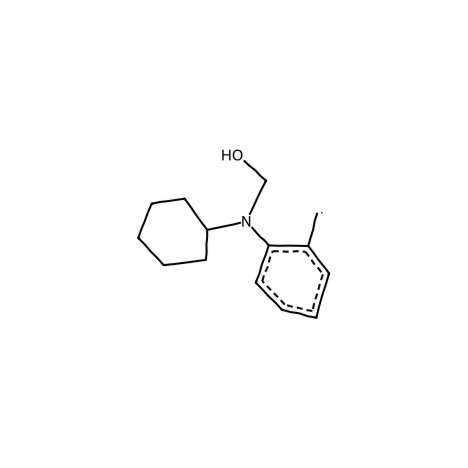 [CH2]c1ccccc1N(CO)C1CCCCC1